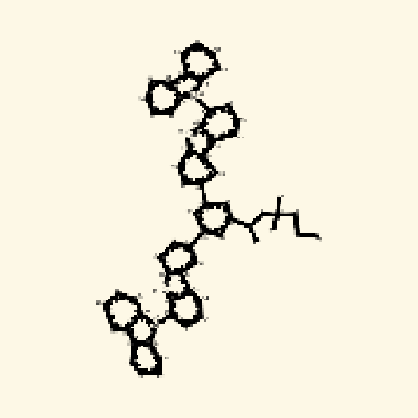 CCCC(C)(C)CC(C)c1cc(-c2ccc3oc4c(-n5c6ccccc6c6ccccc65)cccc4c3c2)cc(-c2ccc3oc4c(-n5c6ccccc6c6ccccc65)cccc4c3c2)c1